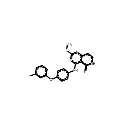 CSc1nc(Nc2ccc(Oc3cccc(F)c3)cc2)c2c(=O)[nH]ccc2n1